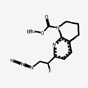 CC(C)(C)OC(=O)N1CCCc2ccc(C(F)CN=[N+]=[N-])nc21